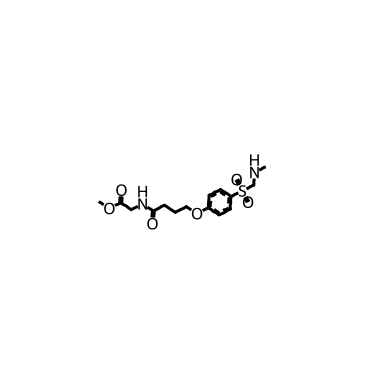 CNCS(=O)(=O)c1ccc(OCCCC(=O)NCC(=O)OC)cc1